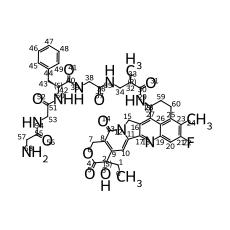 CC[C@@]1(O)C(=O)OCc2c1cc1n(c2=O)Cc2c-1nc1cc(F)c(C)c3c1c2[C@@H](NC(=O)[C@H](C)CNC(=O)CNC(=O)[C@H](Cc1ccccc1)NC(=O)CNC(=O)CN)CC3